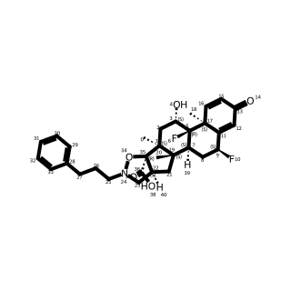 C[C@]12C[C@H](O)[C@@]3(F)[C@@H](C[C@H](F)C4=CC(=O)C=C[C@@]43C)[C@]1(C)C[C@H]1CN(CCCc3ccccc3)O[C@]12C(=O)O